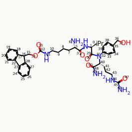 CC(C)[C@H](NC(=O)[C@@H](N)CCCCNC(=O)OCC1c2ccccc2-c2ccccc21)C(=O)N(c1ccc(CO)cc1)[C@H](CCCNC(N)=O)C(N)=O